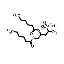 CCCCCC(=O)SCC(CC(O)P(=O)(O)O)SC(=O)CCCCC